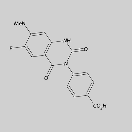 CNc1cc2[nH]c(=O)n(-c3ccc(C(=O)O)cc3)c(=O)c2cc1F